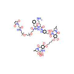 C=C1CC2C(O)N(C(=O)OCc3ccc(NC(=O)C(CCCCN)NC(=O)C(Cc4ccccc4)NC(=O)CCOC(C)(C)CCOC(C)(C)CCNC(=O)CCN4C(=O)C=CC4=O)cc3)c3cc(OCCCCCOc4cc5c(cc4OC)C(=O)N4CC(=C)CC4C(S(=O)(=O)O)N5)c(OC)cc3C(=O)N2C1